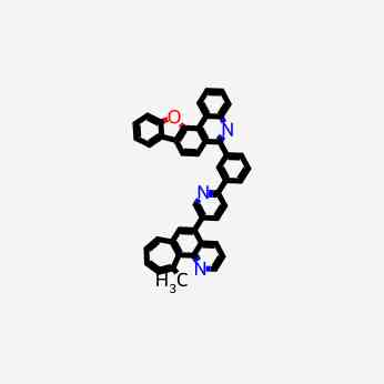 CC1=C=CC=Cc2cc(-c3ccc(-c4cccc(-c5nc6ccccc6c6c5ccc5c7ccccc7oc56)c4)nc3)c3cccnc3c21